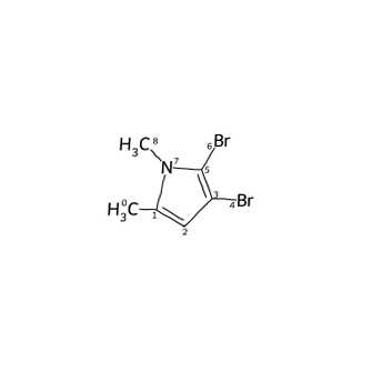 Cc1cc(Br)c(Br)n1C